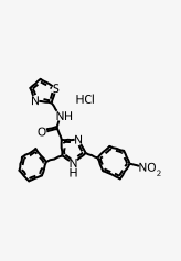 Cl.O=C(Nc1nccs1)c1nc(-c2ccc([N+](=O)[O-])cc2)[nH]c1-c1ccccc1